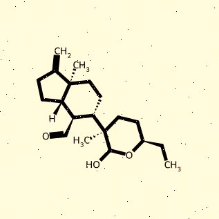 C=C1CC[C@H]2[C@H](C=O)[C@@H]([C@@]3(C)CC[C@@H](CC)OC3O)CC[C@]12C